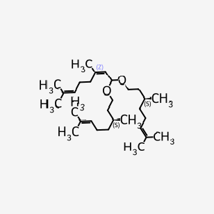 CC(C)=CCC/C(C)=C\C(OCC[C@@H](C)CCC=C(C)C)OCC[C@@H](C)CCC=C(C)C